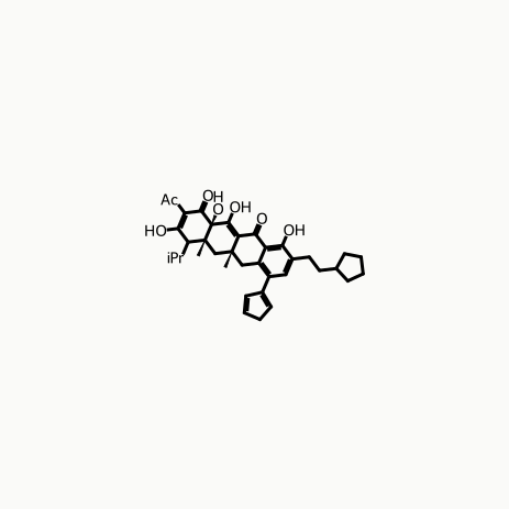 CC(=O)C1=C(O)C(C(C)C)[C@@]2(C)C[C@@]3(C)Cc4c(C5=CCC=C5)cc(CCC5CCCC5)c(O)c4C(=O)C3=C(O)[C@@]2(O)C1=O